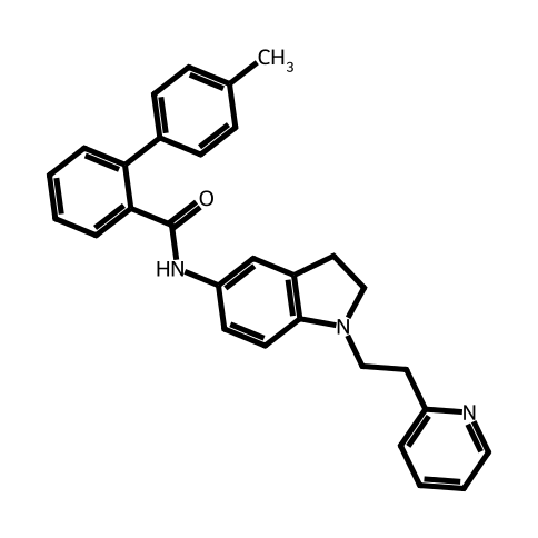 Cc1ccc(-c2ccccc2C(=O)Nc2ccc3c(c2)CCN3CCc2ccccn2)cc1